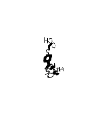 CC(=O)Nc1nc(-c2ccc(SCCC(=O)O)cc2)cs1